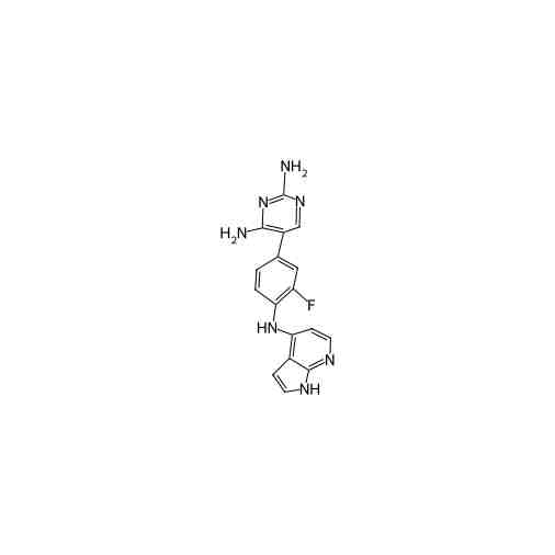 Nc1ncc(-c2ccc(Nc3ccnc4[nH]ccc34)c(F)c2)c(N)n1